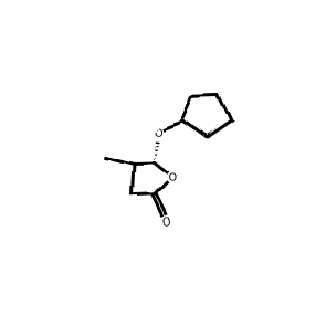 CC1CC(=O)O[C@H]1OC1CCCC1